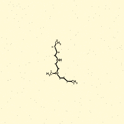 CCCCN(C)CCNCCSC